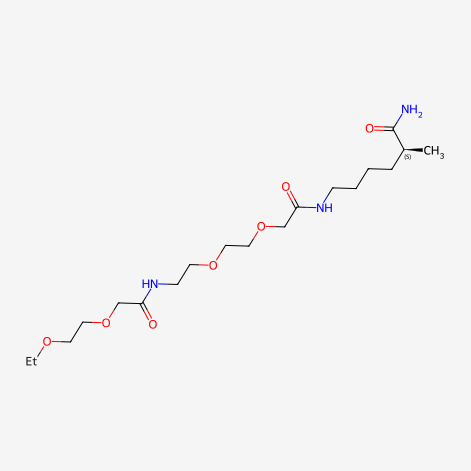 CCOCCOCC(=O)NCCOCCOCC(=O)NCCCC[C@H](C)C(N)=O